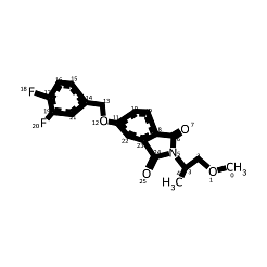 COCC(C)N1C(=O)c2ccc(OCc3ccc(F)c(F)c3)cc2C1=O